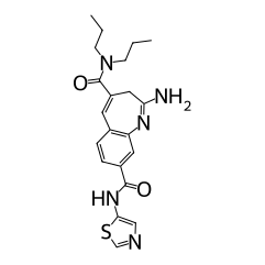 CCCN(CCC)C(=O)C1=Cc2ccc(C(=O)Nc3cncs3)cc2N=C(N)C1